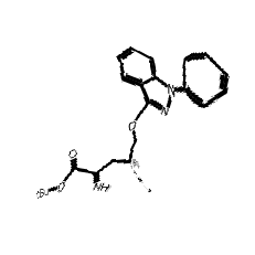 C[C@@H](COc1nn(-c2ccccc2)c2ccccc12)CC(=N)C(=O)OC(C)(C)C